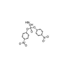 Br.O=[N+]([O-])c1ccc(OP(=O)(O)Oc2ccc([N+](=O)[O-])cc2)cc1